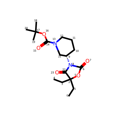 CCC1(CC)OC(=O)N([C@H]2CCCN(C(=O)OC(C)(C)C)C2)C1=O